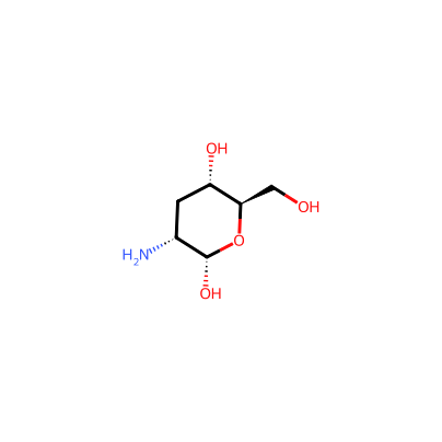 N[C@@H]1C[C@H](O)[C@@H](CO)O[C@@H]1O